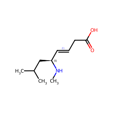 CN[C@H](/C=C/CC(=O)O)CC(C)C